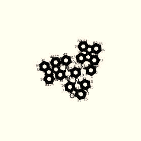 c1ccc(N(c2cc3c4c(c2)N(c2ccccc2)c2c(ccc5oc6ccccc6c25)B4c2ccc4c(c2N3c2ccccc2)-c2ccccc2C42c3ccccc3-c3ccccc32)c2cccc3c2-c2ccccc2C32c3ccccc3-c3ccccc32)cc1